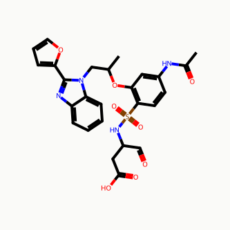 CC(=O)Nc1ccc(S(=O)(=O)NC(C=O)CC(=O)O)c(OC(C)Cn2c(-c3ccco3)nc3ccccc32)c1